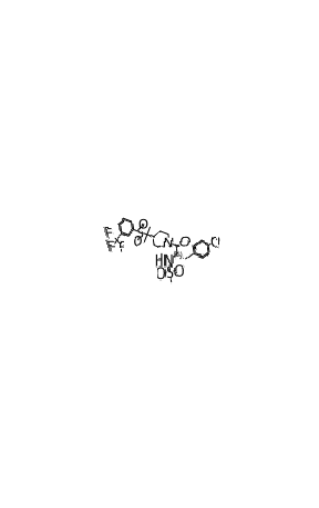 CC(C)(C1CCN(C(=O)[C@H](Cc2ccc(Cl)cc2)NS(C)(=O)=O)CC1)S(=O)(=O)c1cccc(C(F)(F)F)c1